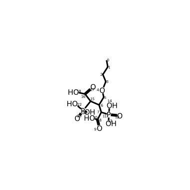 CCCCOCC(C(C(=O)O)P(=O)(O)O)C(C(=O)O)P(=O)(O)O